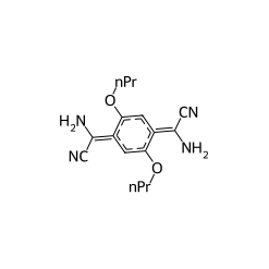 CCCOc1c/c(=C(/N)C#N)c(OCCC)c/c1=C(/N)C#N